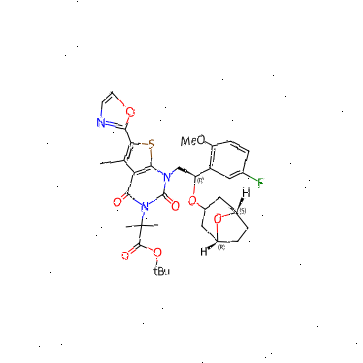 COc1ccc(F)cc1[C@H](Cn1c(=O)n(C(C)(C)C(=O)OC(C)(C)C)c(=O)c2c(C)c(-c3ncco3)sc21)OC1C[C@H]2CC[C@@H](C1)O2